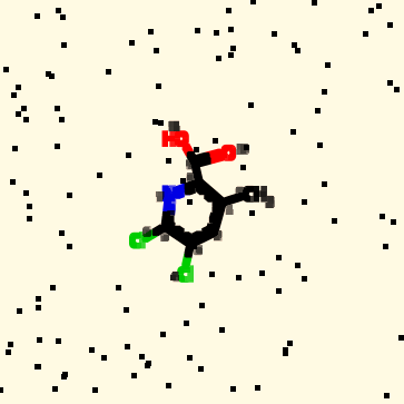 Cc1cc(Cl)c(Cl)nc1C(=O)O